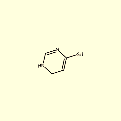 SC1=CCNC=N1